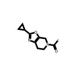 O=C(I)N1CCc2nc(C3CC3)oc2C1